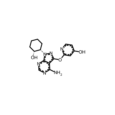 Nc1ncnc2c1c(Oc1cc(O)ccn1)nn2[C@H]1CCCC[C@H]1O